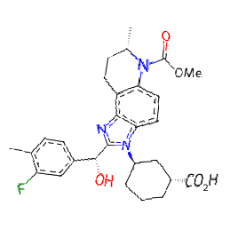 COC(=O)N1c2ccc3c(nc([C@H](O)c4ccc(C)c(F)c4)n3[C@@H]3CCC[C@@H](C(=O)O)C3)c2CC[C@@H]1C